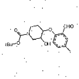 CC(C)(C)OC(=O)N1CCC(Oc2ccc(I)cc2C=O)C(O)C1